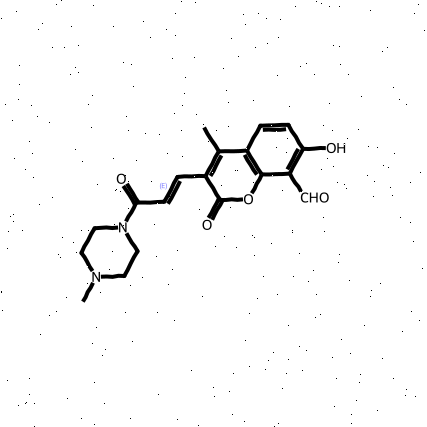 Cc1c(/C=C/C(=O)N2CCN(C)CC2)c(=O)oc2c(C=O)c(O)ccc12